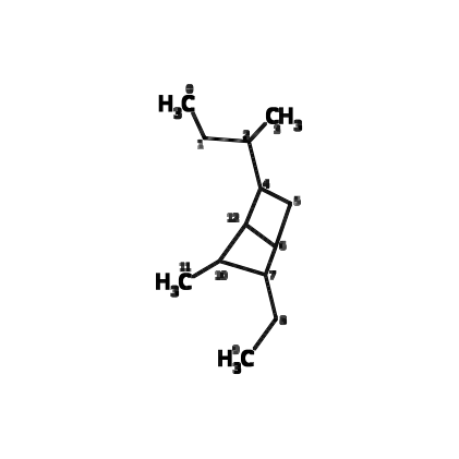 CCC(C)C1CC2C(CC)C(C)C12